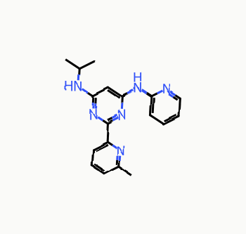 Cc1cccc(-c2nc(Nc3ccccn3)cc(NC(C)C)n2)n1